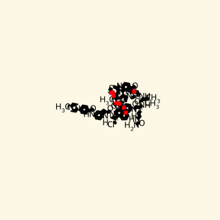 CC(C)[C@@H](NCCNC(=O)c1ccc2nc3c(nc2c1)CSC1=C(\C=C/C=C/C=C\1)SC3)C(=O)N[C@H](CCCNC(N)=O)C(=O)Nc1ccc(COC(=O)N(C)C[C@@H]2C[C@@H](N3CCOCC3)CN2C(=O)Oc2cc3c(c4ccccc24)[C@H](CCl)CN3C(=O)c2cc3cc(NC(=O)c4ccc(N5CCN(C)CC5)cc4)ccc3[nH]2)cc1